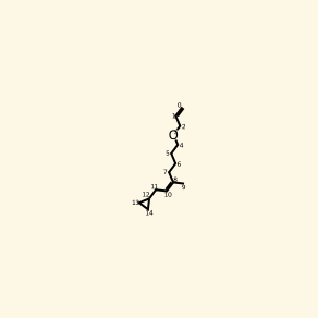 C=CCOCCCCC(C)=CCC1CC1